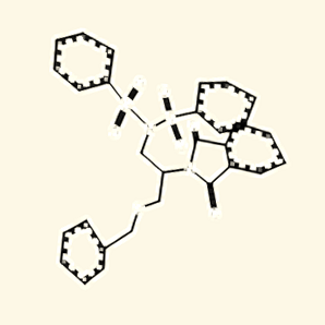 O=C1c2ccccc2C(=O)N1C(COCc1ccccc1)CN(S(=O)(=O)c1ccccc1)S(=O)(=O)c1ccccc1